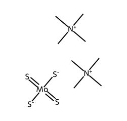 C[N+](C)(C)C.C[N+](C)(C)C.[S]=[Mo](=[S])([S-])[S-]